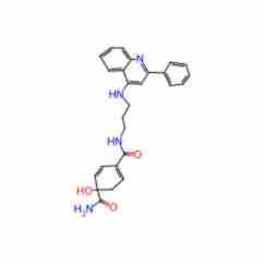 NC(=O)C1(O)C=CC(C(=O)NCCCNc2cc(-c3ccccc3)nc3ccccc23)=CC1